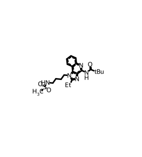 CCc1nc2c(NC(=O)C(C)(C)C)nc3ccccc3c2n1CCCCNS(C)(=O)=O